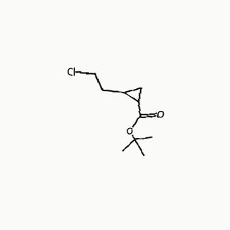 CC(C)(C)OC(=O)C1CC1CCCl